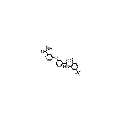 CNC(=O)c1cc(Oc2cccc(C(=O)Nc3cc(C(C)(C)C)ccc3OC)c2)ccn1